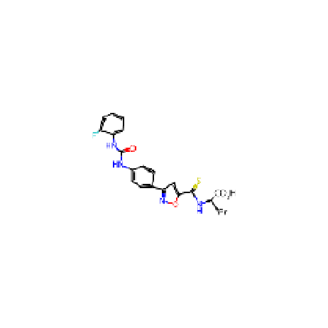 CC(C)C(NC(=S)c1cc(-c2ccc(NC(=O)Nc3ccccc3F)cc2)no1)C(=O)O